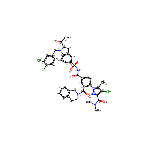 CCCCN(CCCC)C(=O)c1nn(-c2ccc(C(=O)NS(=O)(=O)c3ccc4c(c3)CC(C(=O)OC)N4Cc3ccc(Cl)c(Cl)c3)cc2C(=O)N2CCc3ccccc3C2)c(C)c1Cl